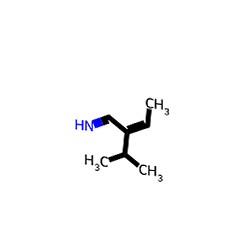 C/C=C(\C=N)C(C)C